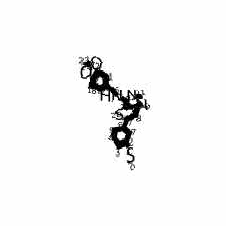 CSc1cccc(-c2cc3ncnc(NCc4ccc5c(c4)OCO5)c3s2)c1